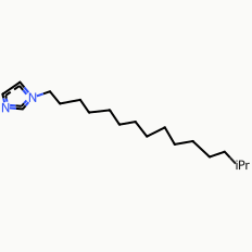 CC(C)CCCCCCCCCCCCCn1ccnc1